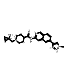 Cn1cc(-c2ccc3cnc(NC(=O)C4CCN(CC5(C(F)(F)F)CC5)CC4)cc3c2)nn1